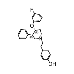 Oc1ccc(CCN2CC[C@@H](Oc3cccc(F)c3)[C@H](c3ccccc3)C2)cc1